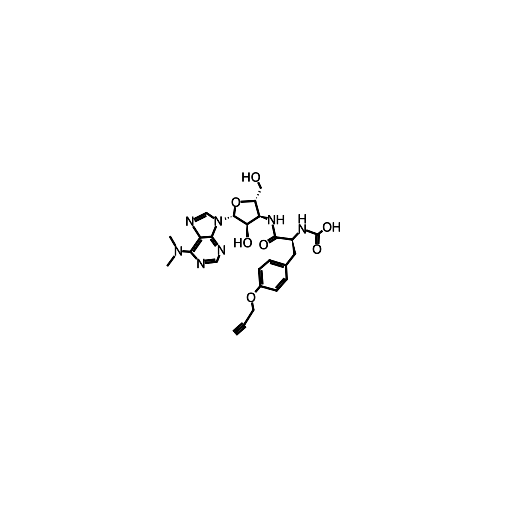 C#CCOc1ccc(C[C@H](NC(=O)O)C(=O)N[C@H]2[C@@H](O)[C@H](n3cnc4c(N(C)C)ncnc43)O[C@@H]2CO)cc1